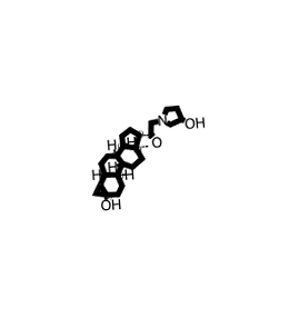 C[C@]12CC[C@@H]3[C@H]4CC[C@]5(O)CC5[C@H]4CC[C@H]3[C@@H]1CC[C@@H]2C(=O)CN1CCC(O)C1